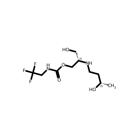 C[C@H](O)CCN[C@@H](CO)COC(=O)NCC(F)(F)F